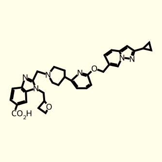 O=C(O)c1ccc2nc(CN3CCC(c4cccc(OCc5ccc6cc(C7CC7)nn6c5)n4)CC3)n(CC3CCO3)c2c1